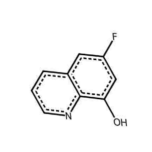 Oc1cc(F)cc2cccnc12